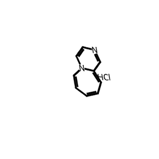 C1=CC=C2C=NC=CN2C=C1.Cl